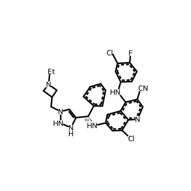 CCN1CC(CN2C=C([C@@H](Nc3cc(Cl)c4ncc(C#N)c(Nc5ccc(F)c(Cl)c5)c4c3)c3ccccc3)NN2)C1